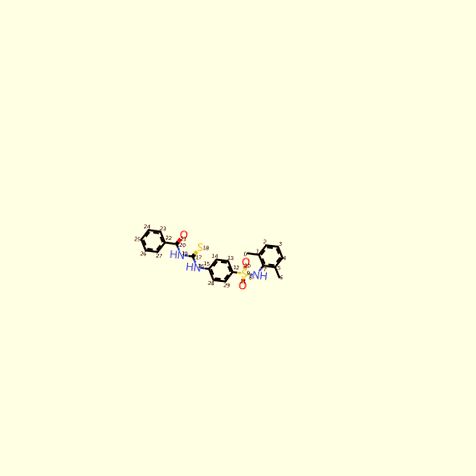 Cc1cccc(C)c1NS(=O)(=O)c1ccc(NC(=S)NC(=O)c2ccccc2)cc1